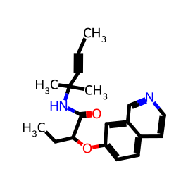 CC#CC(C)(C)NC(=O)C(CC)Oc1ccc2ccncc2c1